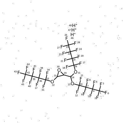 FC(F)(F)C(F)(F)C(F)(F)C(F)(F)O[C](OC(F)(F)C(F)(F)C(F)(F)C(F)(F)F)C1OC1OC(F)(F)C(F)(F)C(F)(F)C(F)(F)F.[H+].[H+].[H+]